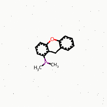 CP(C)c1cccc2c1Cc1ccccc1O2